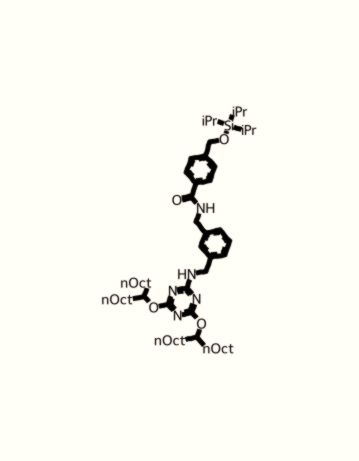 CCCCCCCCC(CCCCCCCC)Oc1nc(NCc2cccc(CNC(=O)c3ccc(CO[Si](C(C)C)(C(C)C)C(C)C)cc3)c2)nc(OC(CCCCCCCC)CCCCCCCC)n1